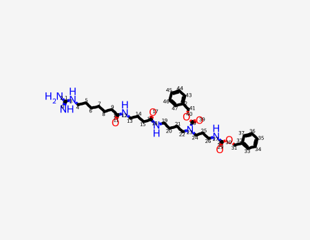 N=C(N)NCCCCCCC(=O)NCCCC(=O)NCCCCN(CCCNC(=O)OCc1ccccc1)C(=O)OCc1ccccc1